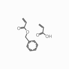 C=CC(=O)O.C=CC(=O)OCc1ccccc1